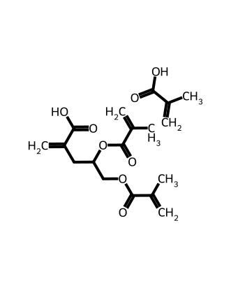 C=C(C)C(=O)O.C=C(C)C(=O)OCC(CC(=C)C(=O)O)OC(=O)C(=C)C